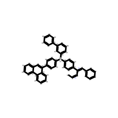 C/C=C\C(=C/c1ccccc1)c1ccc(N(c2ccc(-c3cc4ccccc4c4ccccc34)cc2)c2cccc(-c3ccccc3)c2)cc1